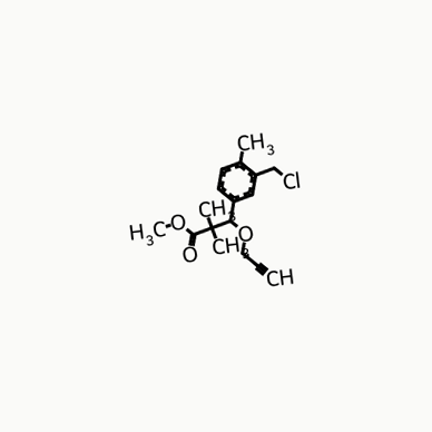 C#CCOC(c1ccc(C)c(CCl)c1)C(C)(C)C(=O)OC